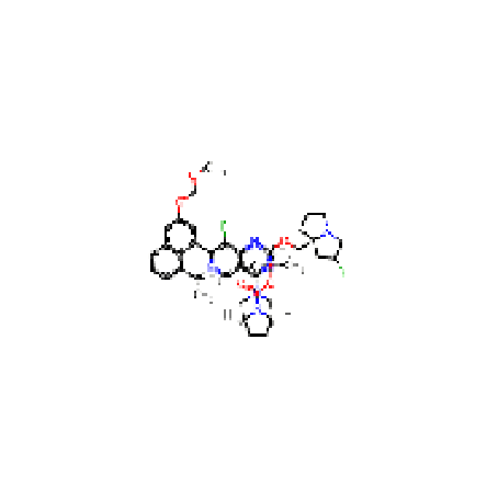 C=C(C)c1cccc2cc(OCOC)cc(-c3ncc4c(N5C[C@H]6CC[C@@H](C5)N6C(=O)OC(C)(C)C)nc(OCC56CCCN5CC(F)C6)nc4c3F)c12